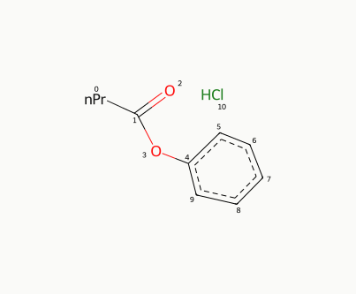 CCCC(=O)Oc1ccccc1.Cl